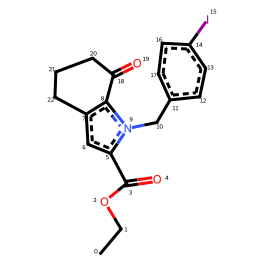 CCOC(=O)c1cc2c(n1Cc1ccc(I)cc1)C(=O)CCC2